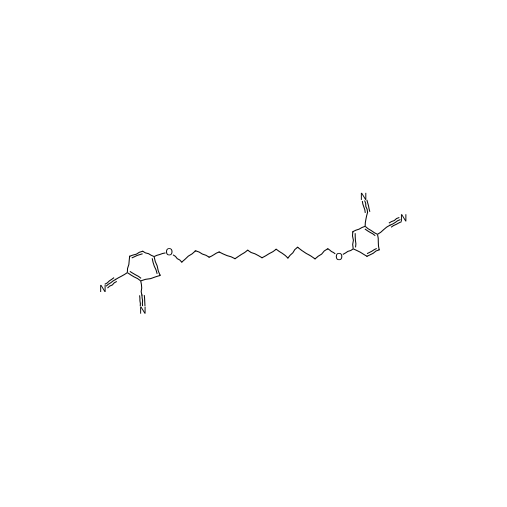 N#Cc1ccc(OCCCCCCCCCCCCOc2ccc(C#N)c(C#N)c2)cc1C#N